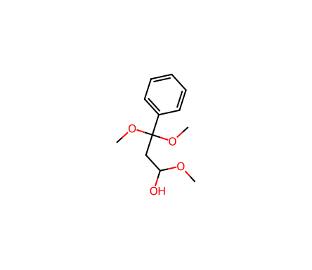 COC(O)CC(OC)(OC)c1ccccc1